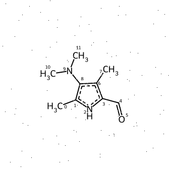 Cc1[nH]c(C=O)c(C)c1N(C)C